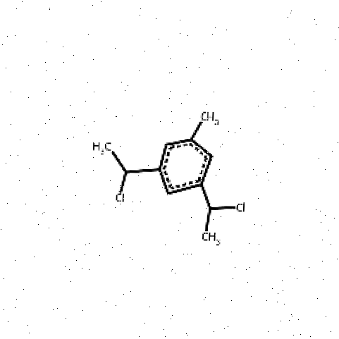 Cc1cc(C(C)Cl)cc(C(C)Cl)c1